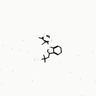 Cc1ncnc(N2CC(CC(C)(C)O)C3=CCCC=C32)c1C